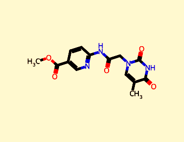 COC(=O)c1ccc(NC(=O)Cn2cc(C)c(=O)[nH]c2=O)nc1